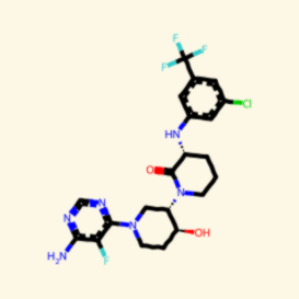 Nc1ncnc(N2CC[C@H](O)[C@@H](N3CCC[C@@H](Nc4cc(Cl)cc(C(F)(F)F)c4)C3=O)C2)c1F